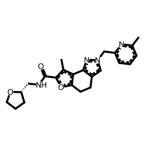 Cc1cccc(Cn2cc3c(n2)-c2c(oc(C(=O)NC[C@@H]4CCCO4)c2C)CC3)n1